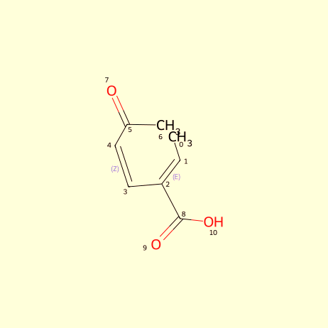 C/C=C(\C=C/C(C)=O)C(=O)O